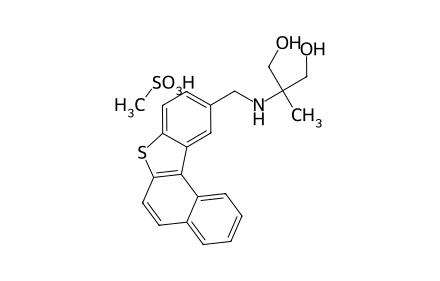 CC(CO)(CO)NCc1ccc2sc3ccc4ccccc4c3c2c1.CS(=O)(=O)O